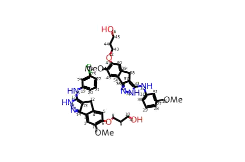 COc1cc2c(cc1OCCCO)Cc1c-2n[nH]c1Nc1cccc(F)c1.COc1cccc(Nc2[nH]nc3c2Cc2cc(OCCCO)c(OC)cc2-3)c1